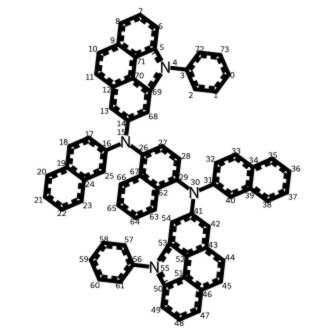 c1ccc(-n2c3cccc4ccc5cc(N(c6ccc7ccccc7c6)c6ccc(N(c7ccc8ccccc8c7)c7cc8ccc9cccc%10c9c8c(c7)n%10-c7ccccc7)c7ccccc67)cc2c5c43)cc1